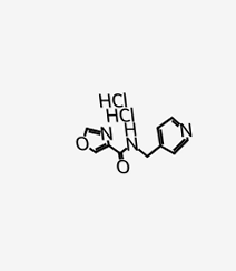 Cl.Cl.O=C(NCc1ccncc1)c1cocn1